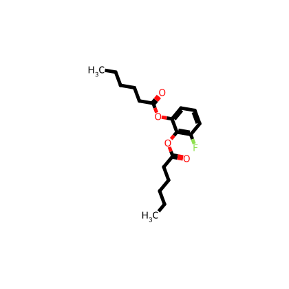 CCCCCC(=O)Oc1cccc(F)c1OC(=O)CCCCC